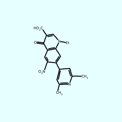 CCn1cc(C(=O)O)c(=O)c2cc([N+](=O)[O-])c(-c3cc(C)nc(C)c3)cc21